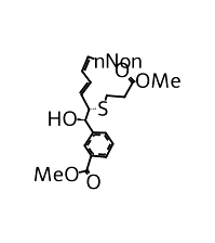 CCCCCCCCC/C=C\C=C\[C@H](SCCC(=O)OC)[C@H](O)c1cccc(C(=O)OC)c1